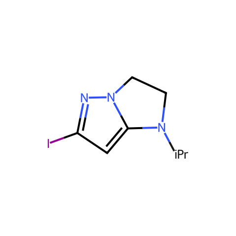 CC(C)N1CCn2nc(I)cc21